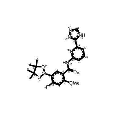 COc1cc(F)c(B2OC(C)(C)C(C)(C)O2)cc1C(=O)Nc1cccc(-c2nnc[nH]2)n1